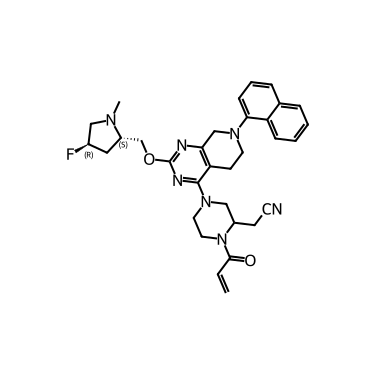 C=CC(=O)N1CCN(c2nc(OC[C@@H]3C[C@@H](F)CN3C)nc3c2CCN(c2cccc4ccccc24)C3)CC1CC#N